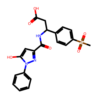 CS(=O)(=O)c1ccc(C(CC(=O)O)NC(=O)c2cc(O)n(-c3ccccc3)n2)cc1